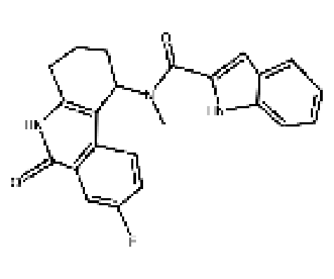 CN(C(=O)c1cc2ccccc2[nH]1)C1CCCc2[nH]c(=O)c3cc(F)ccc3c21